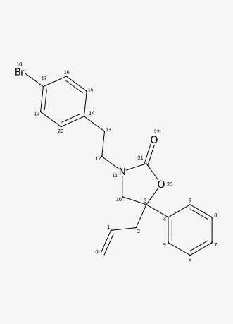 C=CCC1(c2ccccc2)CN(CCc2ccc(Br)cc2)C(=O)O1